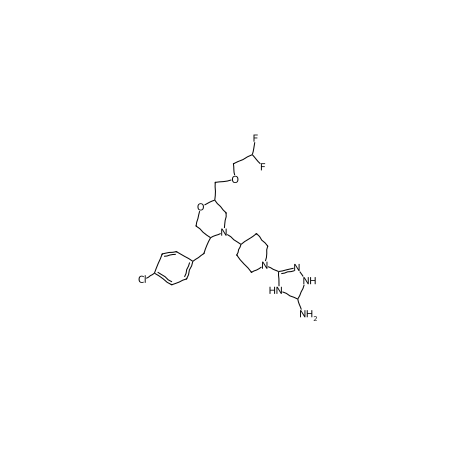 NC1NN=C(N2CCC(N3CC(COCC(F)F)OCC3Cc3ccc(Cl)cc3)CC2)N1